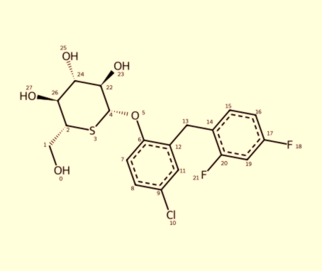 OC[C@H]1S[C@@H](Oc2ccc(Cl)cc2Cc2ccc(F)cc2F)[C@H](O)[C@@H](O)[C@@H]1O